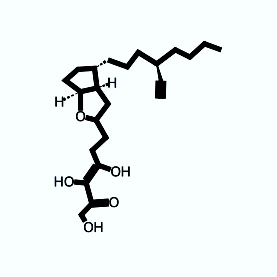 C#C[C@H](CCCC)CCC[C@H]1CC[C@@H]2OC(CCC(O)=C(O)C(=O)CO)C[C@H]12